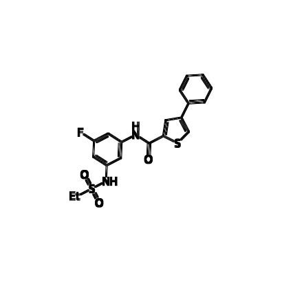 CCS(=O)(=O)Nc1cc(F)cc(NC(=O)c2cc(-c3ccccc3)cs2)c1